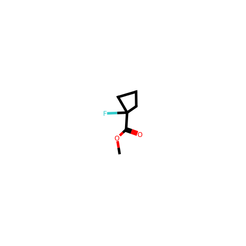 COC(=O)C1(F)CCC1